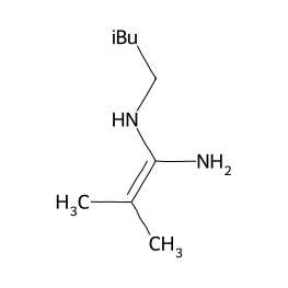 CCC(C)CNC(N)=C(C)C